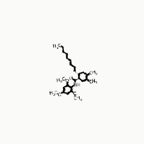 CCCCCCCCC[C@@H]1CC(C)=C(C)C[C@H]1C(=O)Nc1c(OC)cc(OC)cc1OC